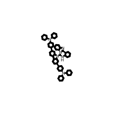 c1ccc(N(c2ccccc2)c2ccc(-c3ccc4c5ccc(-c6ccc(N(c7ccccc7)c7ccccc7)cc6)cc5n(C5Nc6ccccc6-c6nc7ccccc7n65)c4c3)cc2)cc1